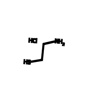 Cl.NCCS